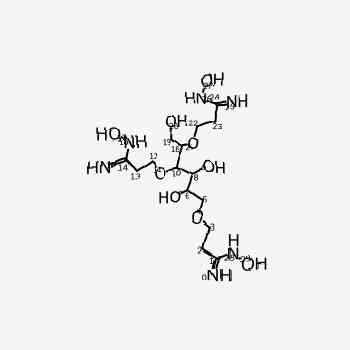 N=C(CCOCC(O)C(O)C(OCCC(=N)NO)C(CO)OCCC(=N)NO)NO